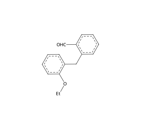 CCOc1ccccc1Cc1ccccc1C=O